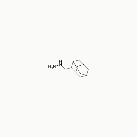 NNCC1C2CC3CC(C2)CC1C3